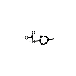 O=C(O)Nc1ccc(I)cc1